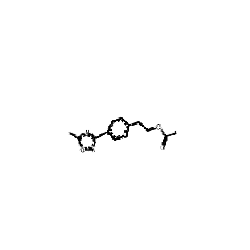 CC(=O)OCCc1ccc(-c2noc(C)n2)cc1